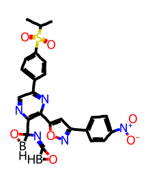 CC(C)S(=O)(=O)c1ccc(-c2cnc(C3(/N=C4\BO4)BO3)c(-c3cc(-c4ccc([N+](=O)[O-])cc4)no3)n2)cc1